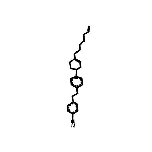 C=CCCCCCC1=CCC(c2ccc(CCc3ccc(C#N)cc3)cc2)CC1